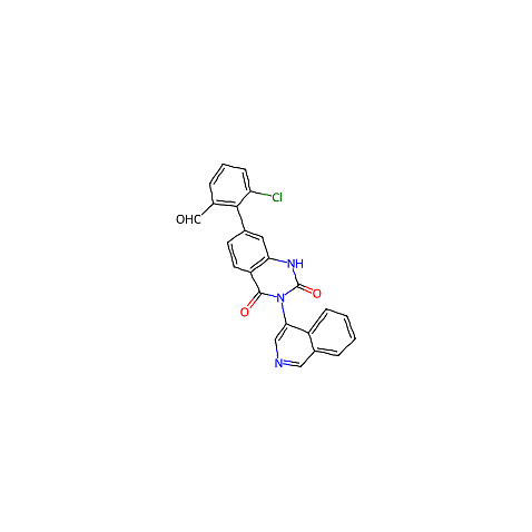 O=Cc1cccc(Cl)c1-c1ccc2c(=O)n(-c3cncc4ccccc34)c(=O)[nH]c2c1